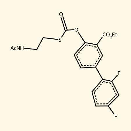 CCOC(=O)c1cc(-c2ccc(F)cc2F)ccc1OC(=O)SCCNC(C)=O